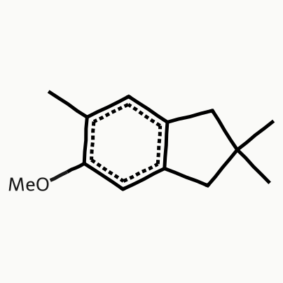 COc1cc2c(cc1C)CC(C)(C)C2